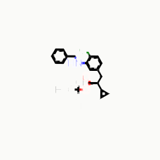 CC(C)(C)OC(=O)C(Cc1ccc(Cl)c(NCc2ccccc2)c1)C1CC1